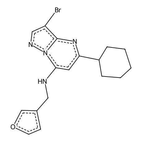 Brc1cnn2c(NCc3ccoc3)cc(C3CCCCC3)nc12